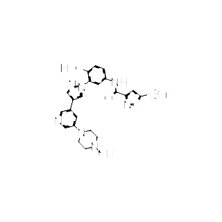 Cc1ccc(NC(=O)c2cc(C(C)(C)C)on2)cc1-n1cc(-c2cncc(N3CCN(C)CC3)c2)cn1